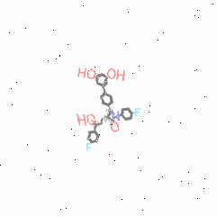 O=C1[C@H](CC[C@H](O)c2ccc(F)cc2)[C@@H](c2ccc(-c3cc(O)cc(O)c3)cc2)N1c1ccc(F)cc1